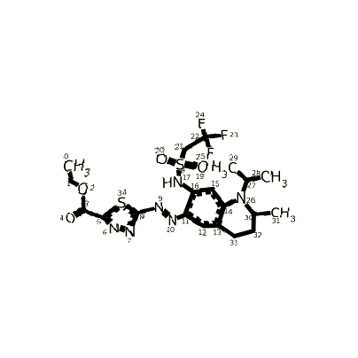 CCOC(=O)c1nnc(N=Nc2cc3c(cc2NS(=O)(=O)CC(F)(F)F)N(C(C)C)C(C)CC3)s1